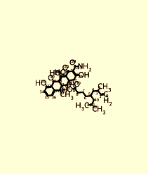 C=CC(C)CC(CCCC(=O)O[C@H]1[C@H]2C(=C(O)[C@]3(O)C(=O)C(C(N)=O)=C(O)C[C@H]13)C(=O)c1c(O)cccc1[C@@H]2C)CC(C)C